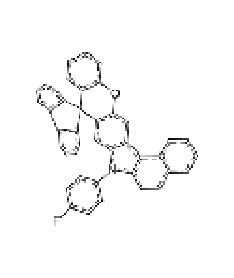 Fc1ccc(-n2c3cc4c(cc3c3c5ccccc5ccc32)Oc2ccccc2C42c3ccccc3-c3ccccc32)cc1